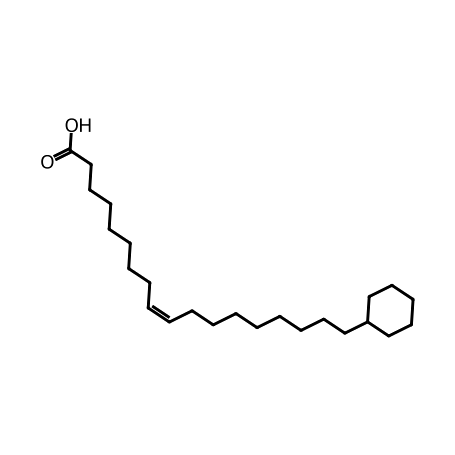 O=C(O)CCCCCCC/C=C\CCCCCCCCC1CCCCC1